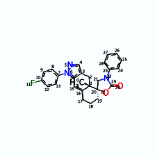 C[C@]12Cc3cnn(-c4ccc(F)cc4)c3C=C1CCC[C@@]21CN(c2ccccc2)C(=O)O1